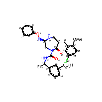 CC[C@@H](NC(=O)N1C/C(=N/Oc2ccccc2)NC[C@H](Cc2cc(Cl)ccc2OC)C1=O)c1cccc(C(=O)O)c1